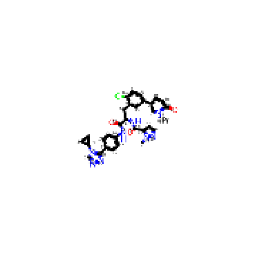 CC(C)n1cc(-c2ccc(Cl)c(CC(NC(=O)c3ccnn3C)C(=O)Nc3ccc(-c4nncn4C4CC4)cc3)c2)ccc1=O